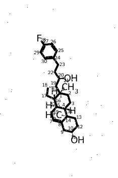 C[C@]12CC[C@H]3[C@@H](CC=C4C[C@@H](O)CC[C@@]43C)[C@@H]1CC[C@@H]2[C@H](O)CCc1ccc(F)cc1